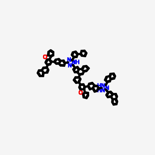 c1ccc(-c2cccc(C3=NC(c4ccc5cc(-c6cc(-c7ccc8ccccc8c7)cc7oc8ccccc8c67)ccc5c4)=NC(c4ccc5c(-c6cccc(-c7cc(-c8ccc9cc(C%10NC(c%11ccc%12c(ccc%13ccccc%13%12)c%11)=NC(c%11ccc%12ccccc%12c%11)N%10)ccc9c8)c8c(c7)oc7ccccc78)c6)cc6ccccc6c5c4)N3)c2)cc1